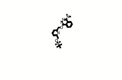 CN(C)c1nnc(OCc2cccc(CO[Si](C)(C)C(C)(C)C)n2)c2ccccc12